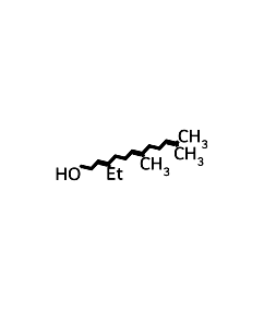 CC/C(=C\CCO)CC/C=C(\C)CCC=C(C)C